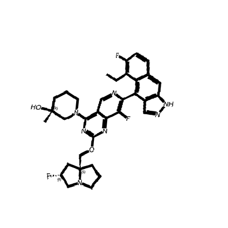 CCc1c(F)ccc2cc3[nH]ncc3c(-c3ncc4c(N5CCC[C@@](C)(O)C5)nc(OC[C@@]56CCCN5C[C@H](F)C6)nc4c3F)c12